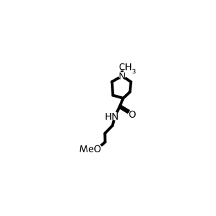 COCCCNC(=O)C1CCN(C)CC1